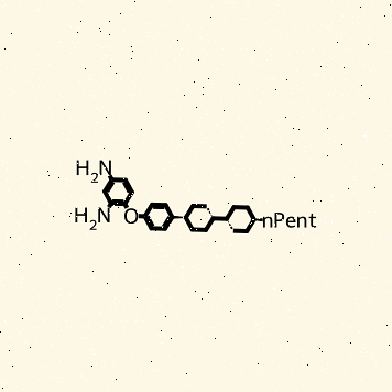 CCCCC[C@H]1CC[C@H]([C@H]2CC[C@H](c3ccc(Oc4ccc(N)cc4N)cc3)CC2)CC1